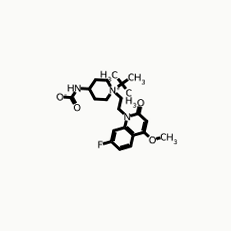 COc1cc(=O)n(CC[N+]2(C(C)(C)C)CCC(NC(=O)[O-])CC2)c2cc(F)ccc12